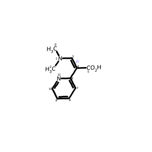 CN(C)/C=C(/C(=O)O)c1ccccn1